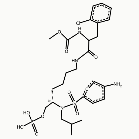 COC(=O)NC(Cc1ccccc1Cl)C(=O)NCCCC[C@@H](COP(=O)(O)O)N(CC(C)C)S(=O)(=O)c1ccc(N)cc1